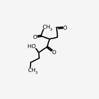 CCC[C](O)C(=O)C(C[C]=O)C(C)=O